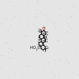 CC1(C)CC[C@]2(C(=O)O)CC[C@]3(C)C(=C2C1)C=C[C@@H]1[C@@]2(C)CCC(=O)C(C)(C)C2CC[C@]13C